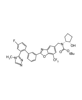 Cn1cnnc1-c1cc(F)ccc1-c1cccc(-c2nc3cc(CN(C(=O)OC(C)(C)C)[C@@H]4CCC[C@@H]4O)cc(C(F)(F)F)c3o2)c1